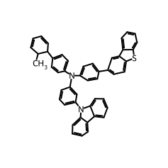 CC1C=CC=CC1c1ccc(N(c2ccc(-c3ccc4sc5ccccc5c4c3)cc2)c2cccc(-n3c4ccccc4c4ccccc43)c2)cc1